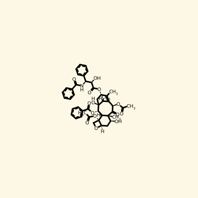 CC(=O)O[C@H]1C(=O)[C@@]2(C)[C@H]([C@H](OC(=O)c3ccccc3)[C@]3(O)C[C@H](OC(=O)[C@H](O)[C@@H](NC(=O)c4ccccc4)c4ccccc4)C(C)=C1[C@@H]3C)[C@]1(OC(C)=O)CO[C@@H]1C[C@@H]2O